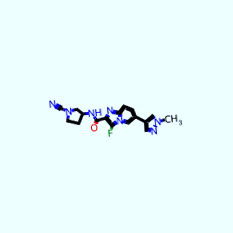 Cn1cc(-c2ccc3nc(C(=O)NC4CCN(C#N)C4)c(F)n3c2)cn1